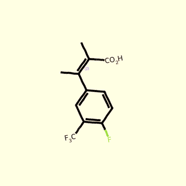 C/C(C(=O)O)=C(\C)c1ccc(F)c(C(F)(F)F)c1